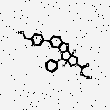 CC(C)(C)OC(=O)N1C[C@H]2[C@@H](C1)c1nc3ccc(-c4ccc(CO)nc4)cc3n1[C@H]2c1ccccc1